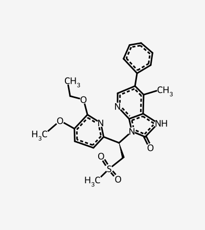 CCOc1nc([C@H](CS(C)(=O)=O)n2c(=O)[nH]c3c(C)c(-c4ccccc4)cnc32)ccc1OC